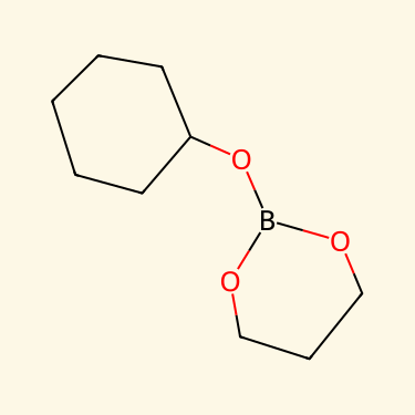 C1CCC(OB2OCCCO2)CC1